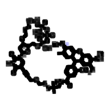 CC/N=C1/C=C2Oc3cc(NCC)c(C)cc3C(c3ccc(C(=O)NCC(C)(C)SSCOCC#Cc4cn([C@H]5C[C@@H](OCSSC(C)(C)C)[C@@H](COP(=O)(O)OP(=O)(O)OP(=O)(O)O)O5)c(=O)[nH]c4=O)cc3C(=O)O)C2C=C1C